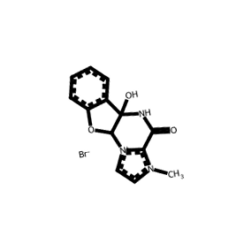 Cn1cc[n+]2c1C(=O)NC1(O)c3ccccc3OC21.[Br-]